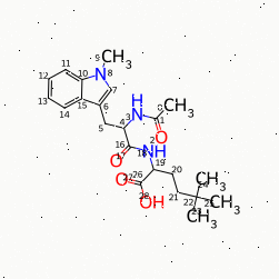 CC(=O)NC(Cc1cn(C)c2ccccc12)C(=O)NC(CCC(C)(C)C)C(=O)O